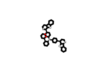 c1ccc(-c2ccccc2N(c2ccc(-c3nccc4c3oc3ccccc34)cc2)c2ccc(-c3ccnc4c3oc3ccccc34)cc2)cc1